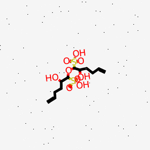 C=CCCC(O)C(OC(C(O)CCC=C)S(=O)(=O)O)S(=O)(=O)O